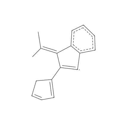 CC(C)=C1C(C2=CC=CC2)=[C]c2ccccc21